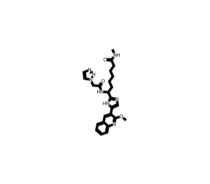 CNC(=O)CCCCCC(NC(=O)Cn1ccnn1)c1ncc(-c2cc3ccccc3nc2OC)[nH]1